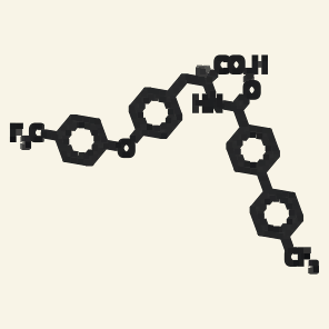 O=C(N[C@@H](Cc1ccc(Oc2ccc(C(F)(F)F)cc2)cc1)C(=O)O)c1ccc(-c2ccc(C(F)(F)F)cc2)cc1